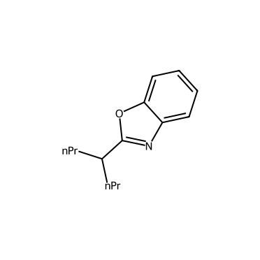 CCCC(CCC)c1nc2ccccc2o1